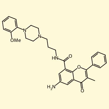 COc1ccccc1N1CCN(CCCNC(=O)c2cc(N)cc3c(=O)c(C)c(-c4ccccc4)oc23)CC1